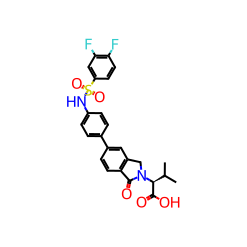 CC(C)[C@@H](C(=O)O)N1Cc2cc(-c3ccc(NS(=O)(=O)c4ccc(F)c(F)c4)cc3)ccc2C1=O